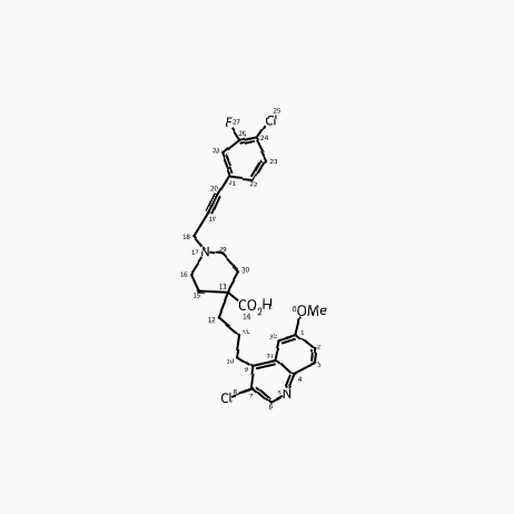 COc1ccc2ncc(Cl)c(CCCC3(C(=O)O)CCN(CC#Cc4ccc(Cl)c(F)c4)CC3)c2c1